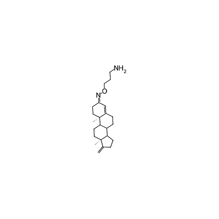 C=C1CCC2C3CCC4=CC(=NOCCCN)CC[C@]4(C)C3CC[C@]12C